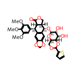 COc1cc([C@@H]2c3cc4c(cc3[C@@H](O[C@@H]3O[C@@H]5COC(c6cccs6)O[C@H]5[C@H](O)[C@H]3O)[C@H]3COC(=O)[C@H]23)OCO4)cc(OC)c1OC